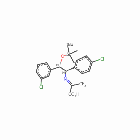 CC(C)(C)[Si](C)(C)O[C@@H](c1cccc(Cl)c1)[C@H](N=C(C(=O)O)C(F)(F)F)c1ccc(Cl)cc1